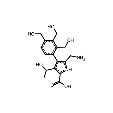 CC(O)c1c(C(=O)O)[nH]c(CN)c1-c1ccc(CO)c(CO)c1CO